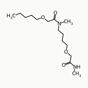 CCCCCOCC(=O)N(C)CCCCOCC(=O)NC